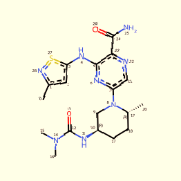 Cc1cc(Nc2nc(N3C[C@H](NC(=O)N(C)C)CC[C@H]3C)cnc2C(N)=O)sn1